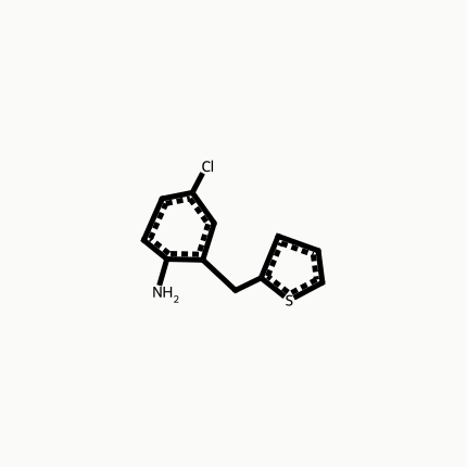 Nc1ccc(Cl)cc1Cc1cccs1